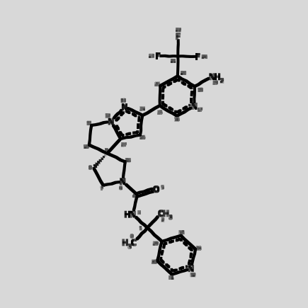 CC(C)(NC(=O)N1CC[C@@]2(CCn3nc(-c4cnc(N)c(C(F)(F)F)c4)cc32)C1)c1ccncc1